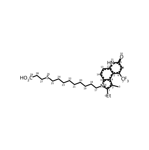 CCc1c(C)c2c3c(C(F)(F)F)cc(=O)[nH]c3ccc2n1CCCCCCCCCSCCC(=O)O